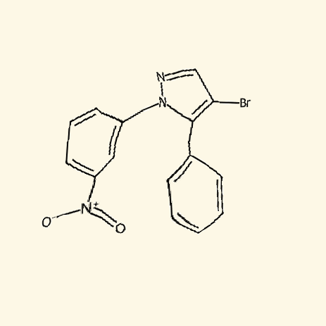 O=[N+]([O-])c1cccc(-n2ncc(Br)c2-c2ccccc2)c1